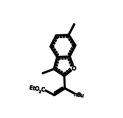 CCCC/C(=C/C(=O)OCC)c1oc2cc(C)ccc2c1C